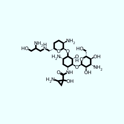 NC(CO)CNC[C@@H]1CC[C@@H](N)[C@@H](OC2[C@@H](N)C[C@@H](NC(=O)C3(O)CC3N)[C@H](O[C@H]3O[C@H](CO)[C@@H](O)[C@H](N)[C@H]3O)[C@H]2O)O1